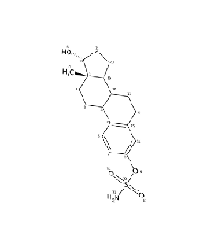 C[C@]12CCC3c4ccc(OS(N)(=O)=O)cc4CCC3C1CC[C@H]2O